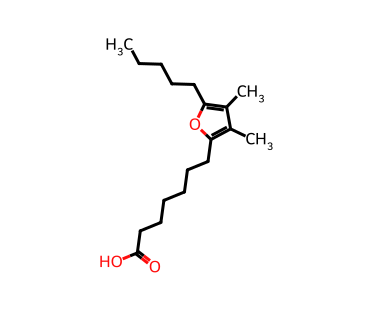 CCCCCc1oc(CCCCCCC(=O)O)c(C)c1C